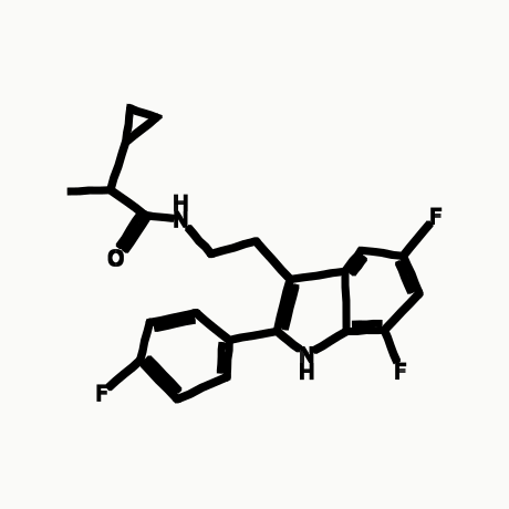 CC(C(=O)NCCc1c(-c2ccc(F)cc2)[nH]c2c(F)cc(F)cc12)C1CC1